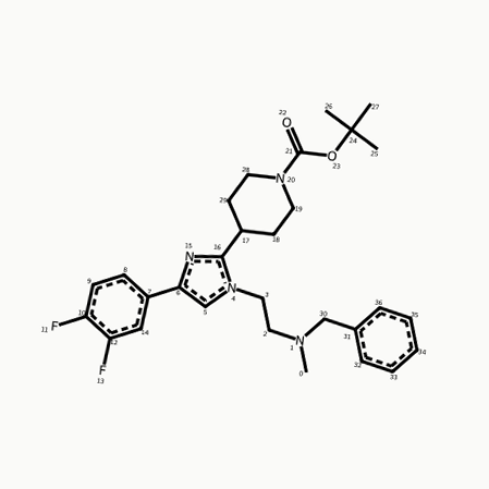 CN(CCn1cc(-c2ccc(F)c(F)c2)nc1C1CCN(C(=O)OC(C)(C)C)CC1)Cc1ccccc1